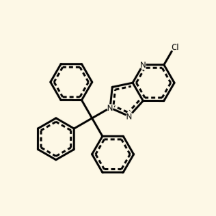 Clc1ccc2nn(C(c3ccccc3)(c3ccccc3)c3ccccc3)cc2n1